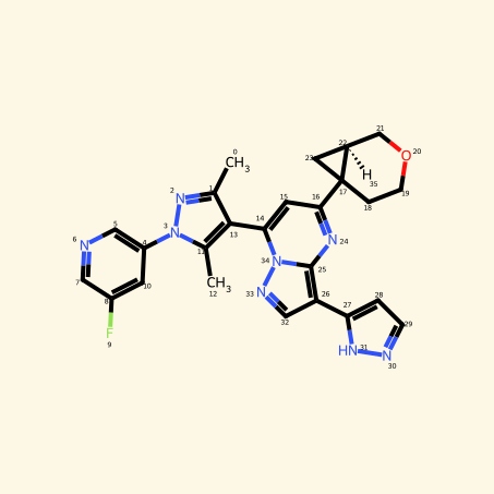 Cc1nn(-c2cncc(F)c2)c(C)c1-c1cc(C23CCOC[C@@H]2C3)nc2c(-c3ccn[nH]3)cnn12